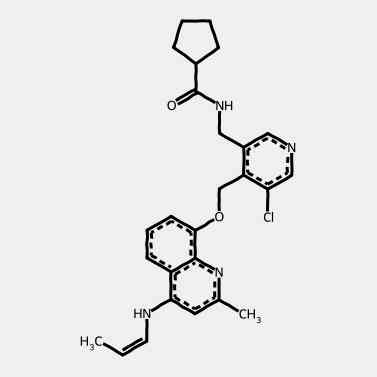 C/C=C\Nc1cc(C)nc2c(OCc3c(Cl)cncc3CNC(=O)C3CCCC3)cccc12